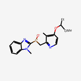 CCC(OC)Oc1ccnc(C[S+]([O-])c2nc3ccccc3n2C)c1C